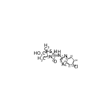 C=C1N2C(=O)C(NC(=Nc3ccc(Cl)cc3)SC(C)=O)[C@H]2SC1(C)C(=O)O